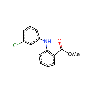 COC(=O)c1ccccc1Nc1cccc(Cl)c1